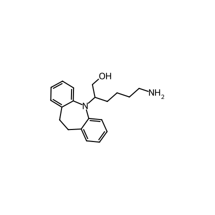 NCCCCC(CO)N1c2ccccc2CCc2ccccc21